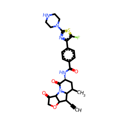 C#CC1C2OCC(=O)C2N2C(=O)[C@@H](NC(=O)c3ccc(-c4nc(N5CCNCC5)sc4F)cc3)CC(C)C12